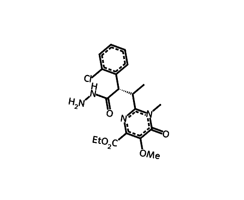 CCOC(=O)c1nc(C(C)[C@H](C(=O)NN)c2ccccc2Cl)n(C)c(=O)c1OC